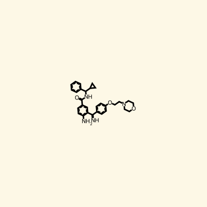 N=C(c1ccc(OCCN2CCOCC2)cc1)c1cc(C(=O)NC(c2ccccc2)C2CC2)ccc1N